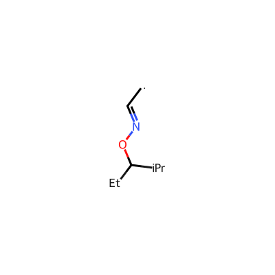 [CH2]C=NOC(CC)C(C)C